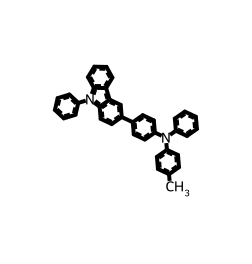 Cc1ccc(N(c2ccccc2)c2ccc(-c3ccc4c(c3)c3ccccc3n4-c3ccccc3)cc2)cc1